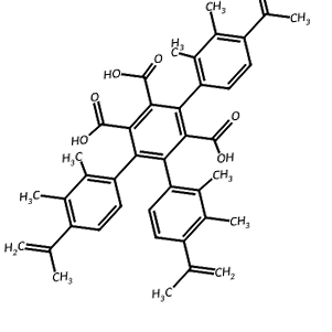 C=C(C)c1ccc(-c2c(C(=O)O)c(C(=O)O)c(-c3ccc(C(=C)C)c(C)c3C)c(-c3ccc(C(=C)C)c(C)c3C)c2C(=O)O)c(C)c1C